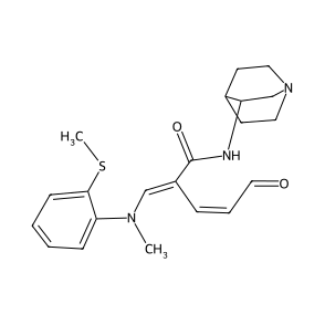 CSc1ccccc1N(C)/C=C(\C=C/C=O)C(=O)NC1CN2CCC1CC2